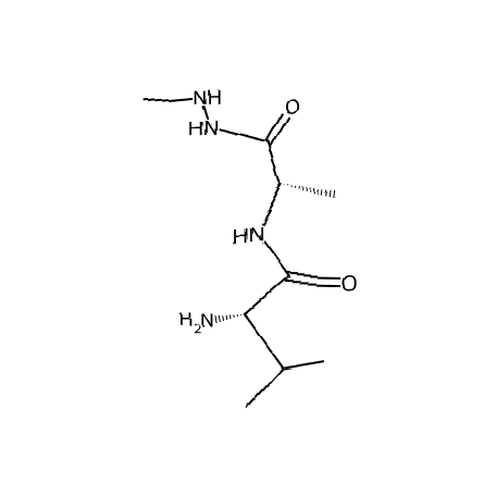 CNNC(=O)[C@H](C)NC(=O)[C@@H](N)C(C)C